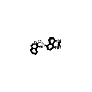 CC1(C)Nc2cccc3c(/N=N/c4c([N+](=O)[O-])ccc5ccccc45)ccc(c23)N1